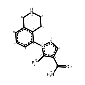 NC(=O)c1cnn(-c2cccc3c2CCNC3)c1C(F)(F)F